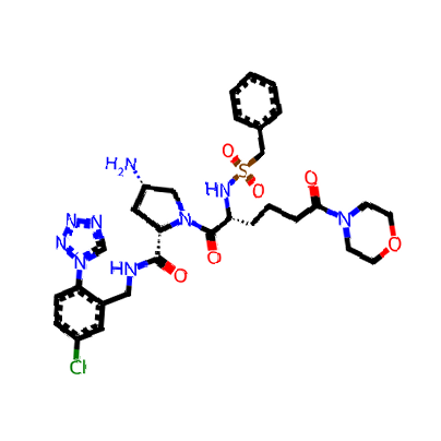 N[C@H]1C[C@@H](C(=O)NCc2cc(Cl)ccc2-n2cnnn2)N(C(=O)[C@@H](CCCC(=O)N2CCOCC2)NS(=O)(=O)Cc2ccccc2)C1